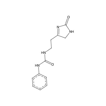 O=C1N=C(CCNC(=O)Nc2ccccc2)CN1